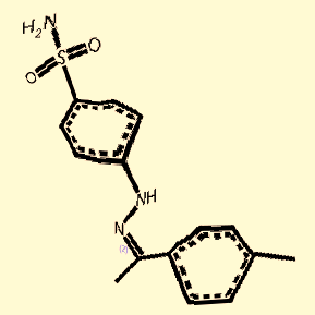 C/C(=N/Nc1ccc(S(N)(=O)=O)cc1)c1ccc(C)cc1